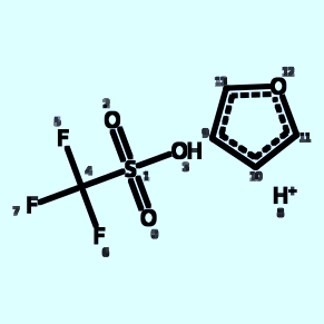 O=S(=O)(O)C(F)(F)F.[H+].c1ccoc1